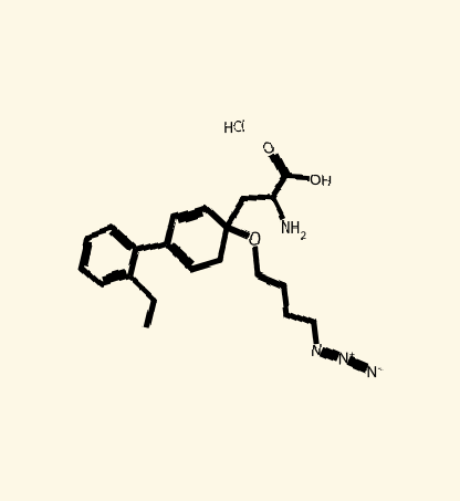 CCc1ccccc1C1=CCC(CC(N)C(=O)O)(OCCCCN=[N+]=[N-])C=C1.Cl